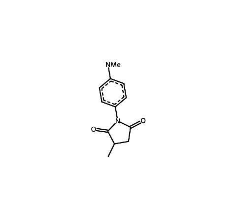 CNc1ccc(N2C(=O)CC(C)C2=O)cc1